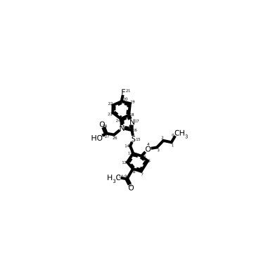 CCCCOc1ccc(C(C)=O)cc1CSc1nc2cc(F)ccc2n1CC(=O)O